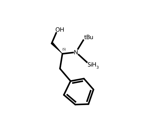 CC(C)(C)N([SiH3])[C@H](CO)Cc1ccccc1